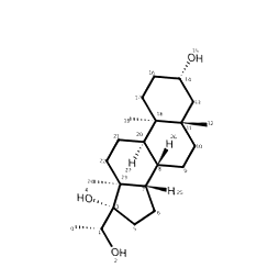 C[C@@H](O)[C@]1(O)CC[C@H]2[C@H]3CC[C@@]4(C)C[C@@H](O)CC[C@]4(C)[C@@H]3CC[C@@]21C